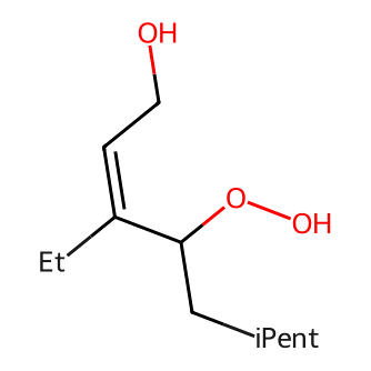 CCCC(C)CC(OO)/C(=C\CO)CC